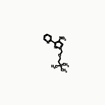 C[Si](C)(C)CCOCn1cc([N+](=O)[O-])c(-c2ccccn2)n1